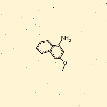 COc1cc(N)c2ccccc2c1